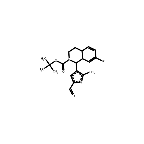 Cc1sc(C=O)cc1C1C2C=C(Br)C=CC2CCN1C(=O)OC(C)(C)C